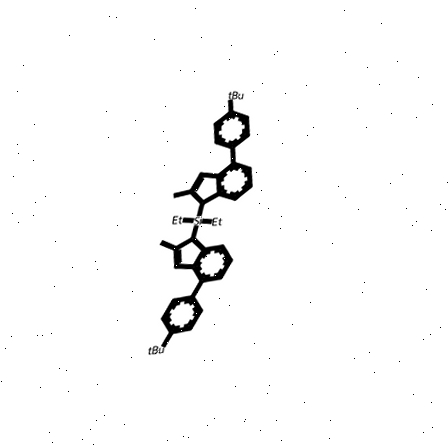 CC[Si](CC)(C1C(C)=Cc2c(-c3ccc(C(C)(C)C)cc3)cccc21)C1C(C)=Cc2c(-c3ccc(C(C)(C)C)cc3)cccc21